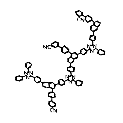 N#Cc1ccc(-c2ccc(-c3cc(-c4ccc(-c5nc(-c6ccccc6)nc(-c6ccc(-c7ccc8c(-c9ccc(-c%10cccc(C#N)c%10)cc9)cc(-c9ccc(-c%10nc(-c%11ccccc%11)nc(-c%11ccc(-c%12ccc%13c(-c%14ccc(-c%15ccccc%15C#N)cc%14)cccc%13c%12)cc%11)n%10)cc9)cc8c7)cc6)n5)cc4)cc4cc(-c5ccc(-c6nc(-c7ccccc7)nc(-c7ccccc7)n6)cc5)ccc34)cc2)cc1